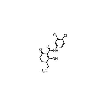 CCC1CCC(=O)C(C(=O)Nc2ccc(Cl)c(Cl)c2)=C1O